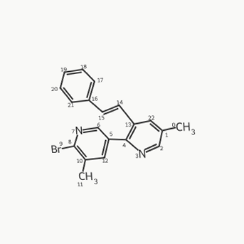 Cc1cnc(-c2cnc(Br)c(C)c2)c(/C=C/c2ccccc2)c1